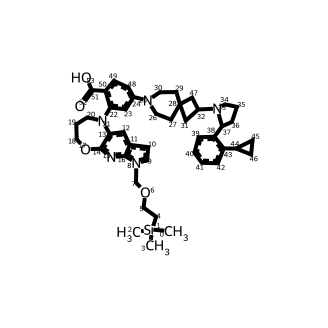 C[Si](C)(C)CCOCn1ccc2cc3c(nc21)OCCCN3c1cc(N2CCC3(CC2)CC(N2CCCC2c2ccccc2C2CC2)C3)ccc1C(=O)O